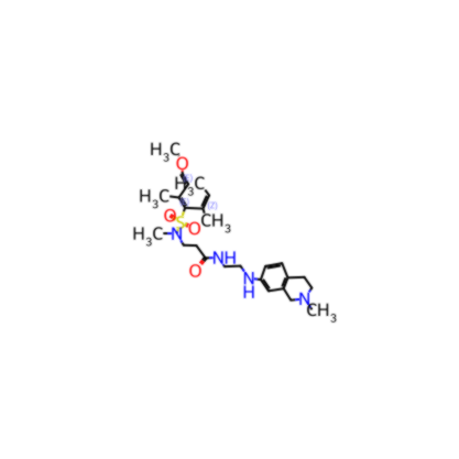 C\C=C(C)/C(=C(C)\C=C\OC)S(=O)(=O)N(C)CCC(=O)NCCNc1ccc2c(c1)CN(C)CC2